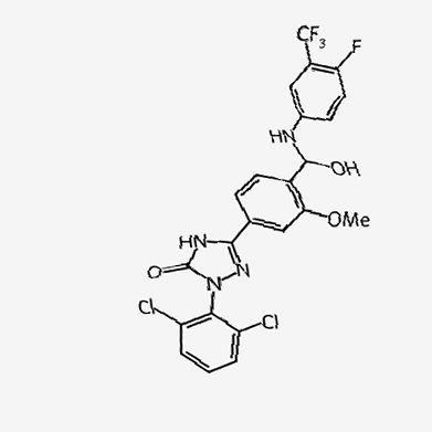 COc1cc(-c2nn(-c3c(Cl)cccc3Cl)c(=O)[nH]2)ccc1C(O)Nc1ccc(F)c(C(F)(F)F)c1